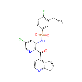 CCc1cc(S(=O)(=O)Nc2cc(Cl)cnc2C(=O)c2ccnc3c2C=CC3)ccc1Cl